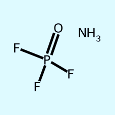 N.O=P(F)(F)F